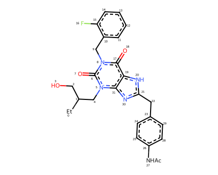 CCC(CO)Cn1c(=O)n(Cc2ccccc2F)c(=O)c2[nH]c(Cc3ccc(NC(C)=O)cc3)nc21